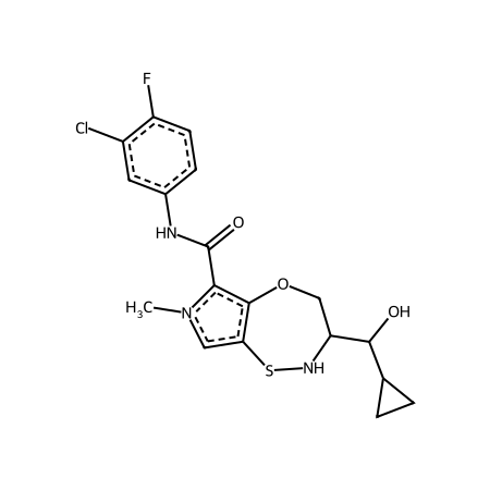 Cn1cc2c(c1C(=O)Nc1ccc(F)c(Cl)c1)OCC(C(O)C1CC1)NS2